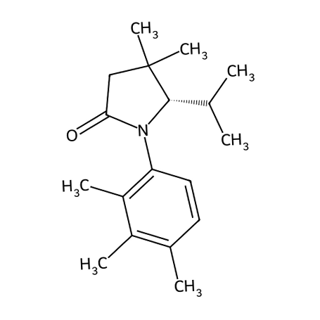 Cc1ccc(N2C(=O)CC(C)(C)[C@@H]2C(C)C)c(C)c1C